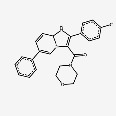 O=C(C1=C(c2ccc(Cl)cc2)NC2C=CC(c3ccccc3)=CN12)N1CCOCC1